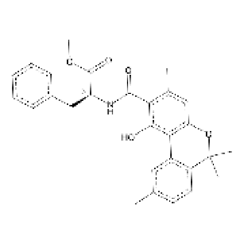 COC(=O)[C@H](Cc1ccccc1)NC(=O)c1c(C)cc2c(c1O)-c1cc(C)ccc1C(C)(C)O2